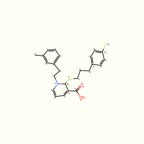 Cc1cccc(CCN2C=CC=C(C(=O)O)C2SCCCc2ccc(F)cc2)c1